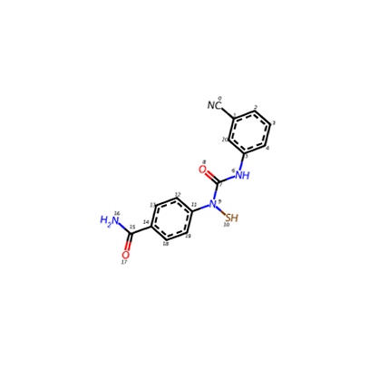 N#Cc1cccc(NC(=O)N(S)c2ccc(C(N)=O)cc2)c1